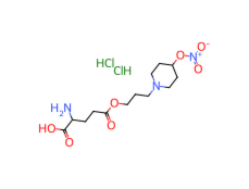 Cl.Cl.NC(CCC(=O)OCCCN1CCC(O[N+](=O)[O-])CC1)C(=O)O